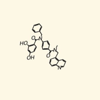 CN(Cc1cccc2ncccc12)C(=O)c1ccc(N(Cc2ccccc2)C(=O)c2ccc(O)cc2O)cc1